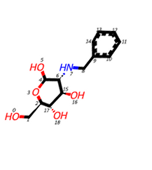 OC[C@H]1OC(O)[C@H](NCc2ccccc2)[C@@H](O)[C@@H]1O